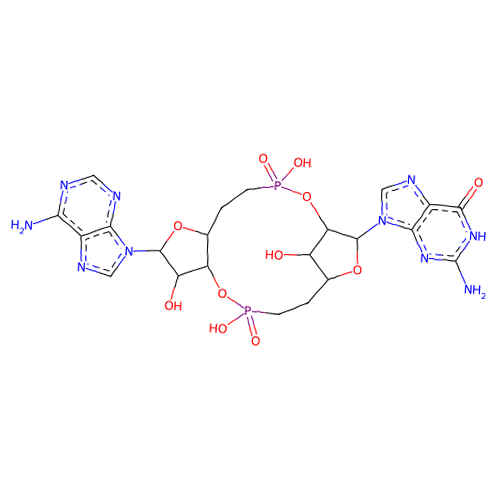 Nc1nc2c(ncn2C2OC3CCP(=O)(O)OC4C(CCP(=O)(O)OC2C3O)OC(n2cnc3c(N)ncnc32)C4O)c(=O)[nH]1